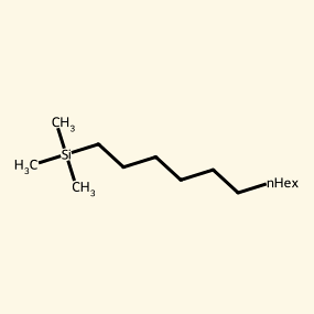 [CH2]CCCCCCCCCCC[Si](C)(C)C